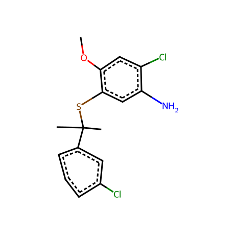 COc1cc(Cl)c(N)cc1SC(C)(C)c1cccc(Cl)c1